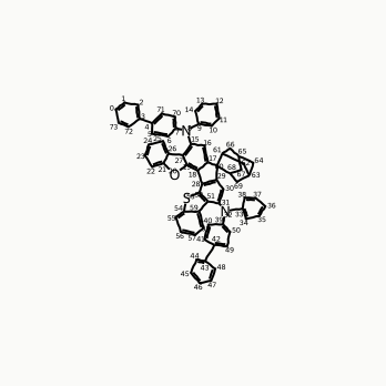 c1ccc(-c2ccc(N(c3ccccc3)c3cc4c(c5oc6ccccc6c35)-c3c(cc(N(c5ccccc5)c5ccc(-c6ccccc6)cc5)c5c3sc3ccccc35)C43C4CC5CC(C4)CC3C5)cc2)cc1